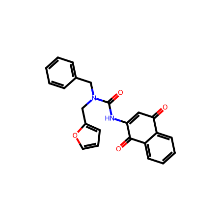 O=C1C=C(NC(=O)N(Cc2ccccc2)Cc2ccco2)C(=O)c2ccccc21